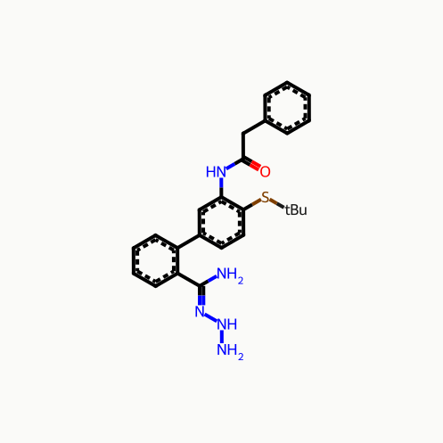 CC(C)(C)Sc1ccc(-c2ccccc2/C(N)=N/NN)cc1NC(=O)Cc1ccccc1